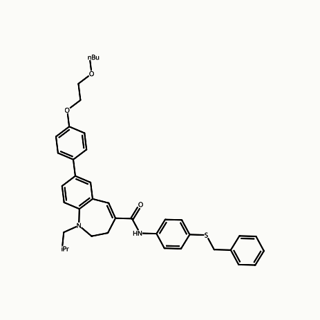 CCCCOCCOc1ccc(-c2ccc3c(c2)C=C(C(=O)Nc2ccc(SCc4ccccc4)cc2)CCN3CC(C)C)cc1